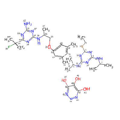 CCSc1nc(NC(C)C)nc(NC(C)C)n1.Cc1cc(C)cc(OCC(C)Nc2nc(N)nc(C(C)(C)F)n2)c1.Oc1nnnc(O)c1O